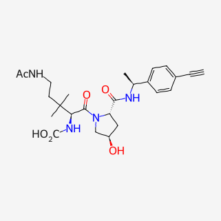 C#Cc1ccc([C@H](C)NC(=O)[C@@H]2C[C@@H](O)CN2C(=O)[C@@H](NC(=O)O)C(C)(C)CCNC(C)=O)cc1